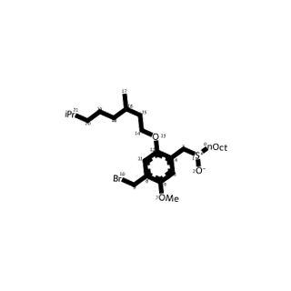 CCCCCCCC[S+]([O-])Cc1cc(OC)c(CBr)cc1OCCC(C)CCCC(C)C